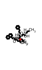 C=C(F)/C=C\C(=C/C)CC(NC(=O)[C@H](CCC(O)NCCCC)NC(=O)CCc1ccccc1)C(=O)NCc1cccc2ccccc12